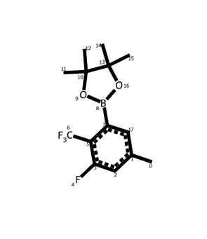 Cc1cc(F)c(C(F)(F)F)c(B2OC(C)(C)C(C)(C)O2)c1